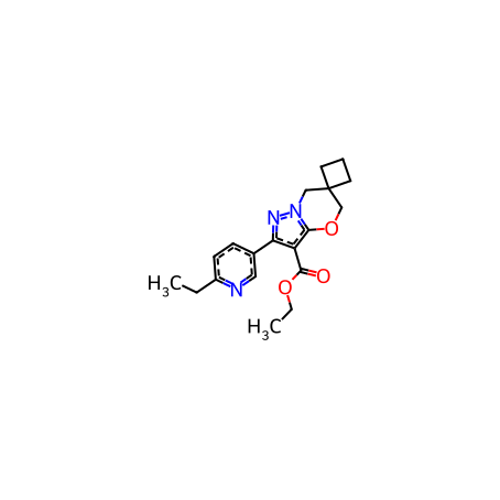 CCOC(=O)c1c(-c2ccc(CC)nc2)nn2c1OCC1(CCC1)C2